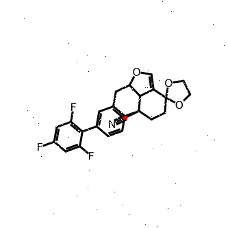 N#CC12CCC3(OCCO3)C3=COC(Cc4cc(-c5c(F)cc(F)cc5F)ccc41)C32